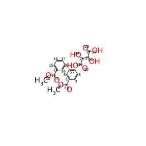 COC(=O)c1ccccc1.COC(=O)c1ccccc1.O=C(O)C(O)C(O)C(=O)O